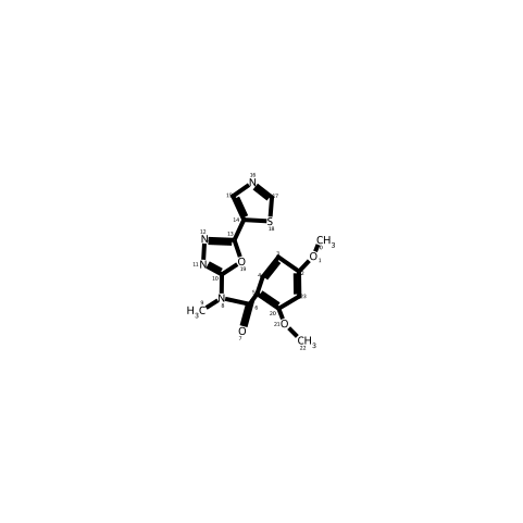 COc1ccc(C(=O)N(C)c2nnc(-c3cncs3)o2)c(OC)c1